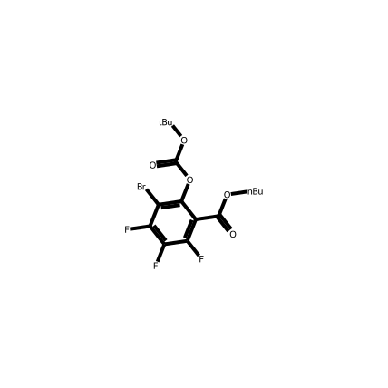 CCCCOC(=O)c1c(F)c(F)c(F)c(Br)c1OC(=O)OC(C)(C)C